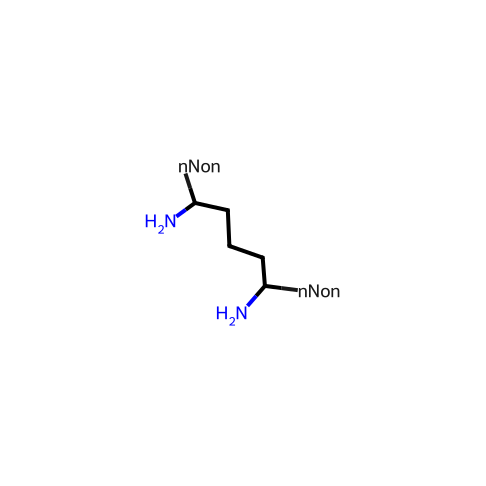 CCCCCCCCCC(N)CCCC(N)CCCCCCCCC